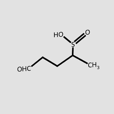 CC(CCC=O)S(=O)O